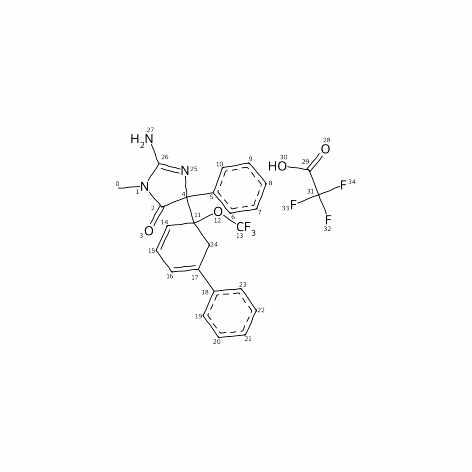 CN1C(=O)C(c2ccccc2)(C2(OC(F)(F)F)C=CC=C(c3ccccc3)C2)N=C1N.O=C(O)C(F)(F)F